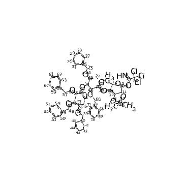 CC1O[C@@H](OC(=N)C(Cl)(Cl)Cl)C2OC(C)(C)OC2[C@H]1O[C@@H]1OC[C@@H](OCc2ccccc2)C(O[C@@H]2OC[C@@H](OCc3ccccc3)C(OCc3ccccc3)C2OCc2ccccc2)C1OCc1ccccc1